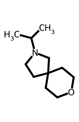 CC(C)N1CCC2(CCOCC2)C1